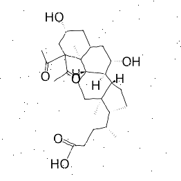 CC(=O)C1(C(C)=O)C[C@H](O)CC2C[C@H](O)[C@H]3[C@@H]4CC[C@H]([C@H](C)CCC(=O)O)[C@@]4(C)CC[C@@H]3[C@]21C